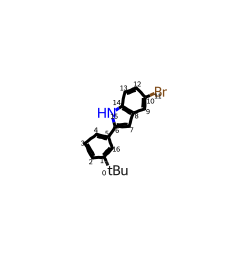 CC(C)(C)c1cccc(-c2cc3cc(Br)ccc3[nH]2)c1